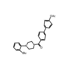 CC(=O)Oc1ccc(-c2ccc(C(=O)N3CCN(c4ccccc4C(C)(C)C)CC3)cc2)cc1